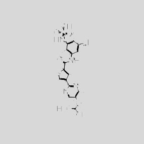 CC(C)Oc1cnc(-c2csc(C(=O)Nc3cc(Cl)cc(NS(C)(=O)=O)c3)c2)nc1